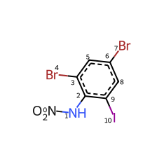 O=[N+]([O-])Nc1c(Br)cc(Br)cc1I